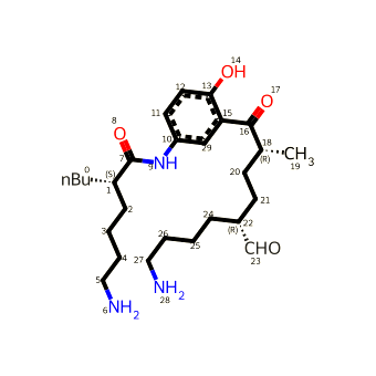 CCCC[C@@H](CCCCN)C(=O)Nc1ccc(O)c(C(=O)[C@H](C)CC[C@H](C=O)CCCCN)c1